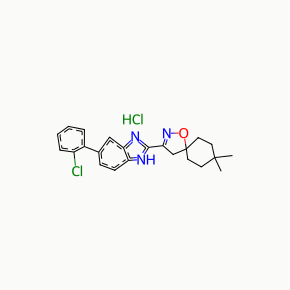 CC1(C)CCC2(CC1)CC(c1nc3cc(-c4ccccc4Cl)ccc3[nH]1)=NO2.Cl